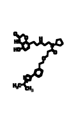 CC(C)n1cc(-c2cccc(CCOCCC(=O)N(CCNCCc3ccc(O)c4c3OCC(=O)N4)C3CCCC3)c2)cn1